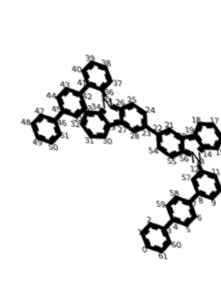 c1ccc(-c2ccc(-c3cccc(-n4c5ccccc5c5cc(-c6ccc7c(c6)c6ccccc6n7-c6ccccc6-c6ccc(-c7ccccc7)cc6)ccc54)c3)cc2)cc1